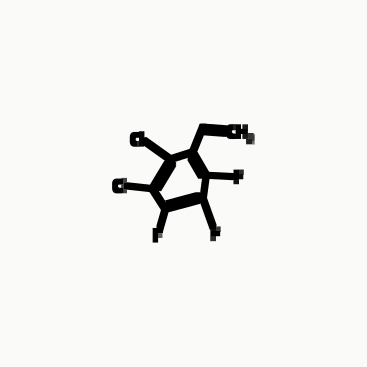 C=Cc1c(F)c(F)c(F)c(Cl)c1Cl